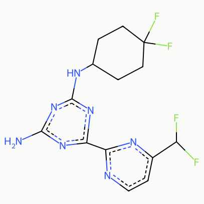 Nc1nc(NC2CCC(F)(F)CC2)nc(-c2nccc(C(F)F)n2)n1